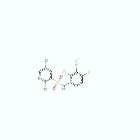 C#Cc1c(F)ccc(NS(=O)(=O)c2cc(Cl)cnc2Cl)c1F